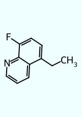 CCc1ccc(F)c2ncccc12